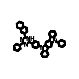 C1=Cc2ccc(C3=NC(c4ccccc4)=NC(c4ccc(-n5c6ccccc6c6cc7c(cc65)c5ccccc5n7-c5ccccc5)cc4)N3)cc2CC1